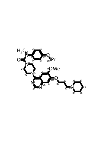 COc1cc2c(N3CCN(C(=O)N(C)c4ccc(OC(C)C)cc4)CC3)ncnc2cc1OCCCN1CCCCC1